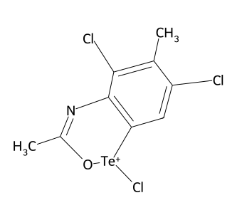 CC1=Nc2c(cc(Cl)c(C)c2Cl)[Te+](Cl)O1